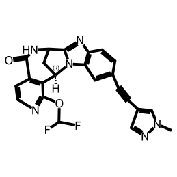 Cn1cc(C#Cc2ccc3nc4n(c3c2)[C@@H]2CC4NC(=O)c3ccnc(OC(F)F)c32)cn1